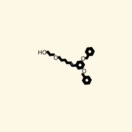 OCCCOCCCC/C=C/c1cc(OCc2ccccc2)cc(OCc2ccccc2)c1